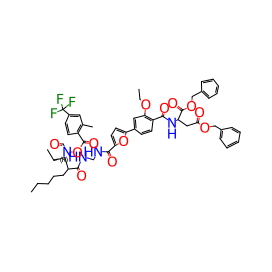 CCCCCC(C(=O)NCNC(=O)c1ccc(-c2ccc(C(=O)NC(CC(=O)OCc3ccccc3)C(=O)OCc3ccccc3)c(OCC)c2)o1)[C@@H](CC)N(C=O)OC(=O)c1ccc(C(F)(F)F)cc1C